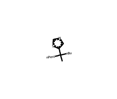 CCCCCC(C)(CCCC)c1cncs1